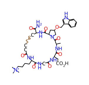 CC1NC(=O)C(CC(=O)O)NC(=O)CNC(=O)C(CCCC[N+](C)(C)C)NC(=O)CCSSCC(C(N)=O)NC(=O)C2CC(OCc3c[nH]c4ccccc34)CN2C1=O